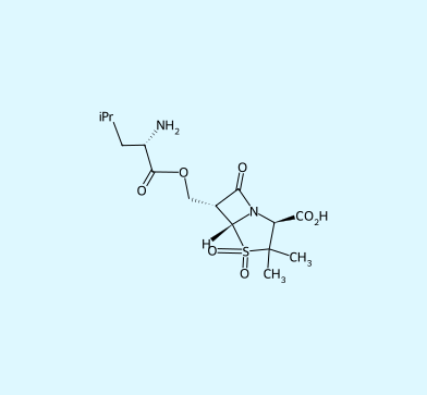 CC(C)C[C@H](N)C(=O)OC[C@@H]1C(=O)N2[C@@H](C(=O)O)C(C)(C)S(=O)(=O)[C@H]12